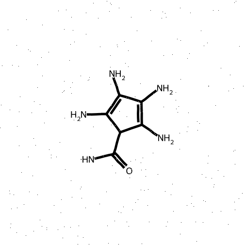 [NH]C(=O)C1C(N)=C(N)C(N)=C1N